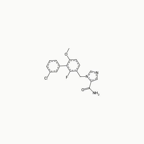 COc1ccc(Cn2cncc2C(N)=O)c(F)c1-c1cccc(Cl)c1